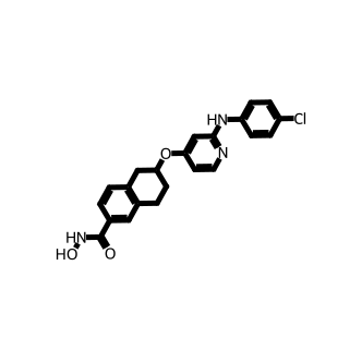 O=C(NO)c1ccc2c(c1)CCC(Oc1ccnc(Nc3ccc(Cl)cc3)c1)C2